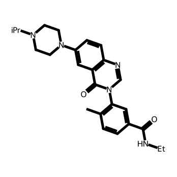 CCNC(=O)c1ccc(C)c(-n2cnc3ccc(N4CCN(C(C)C)CC4)cc3c2=O)c1